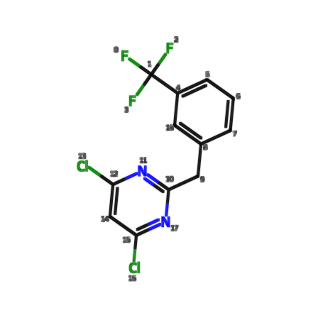 FC(F)(F)c1cccc(Cc2nc(Cl)cc(Cl)n2)c1